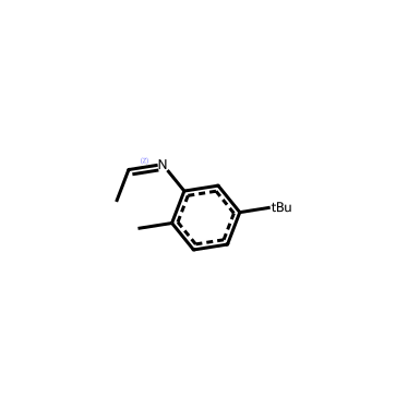 C/C=N\c1cc(C(C)(C)C)ccc1C